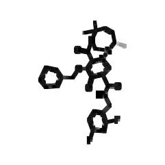 C[C@H]1C=CC(C)(C)N2CN1n1cc(C(=O)NCc3ccc(F)cc3F)c(=O)c(OCc3ccccc3)c1C2=O